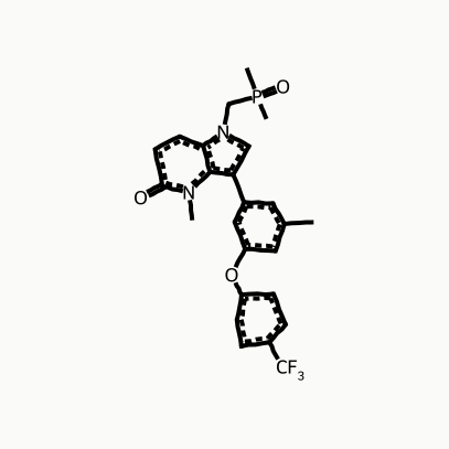 Cc1cc(Oc2ccc(C(F)(F)F)cc2)cc(-c2cn(CP(C)(C)=O)c3ccc(=O)n(C)c23)c1